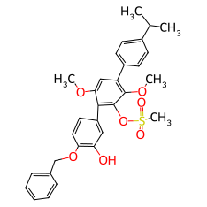 COc1cc(-c2ccc(C(C)C)cc2)c(OC)c(OS(C)(=O)=O)c1-c1ccc(OCc2ccccc2)c(O)c1